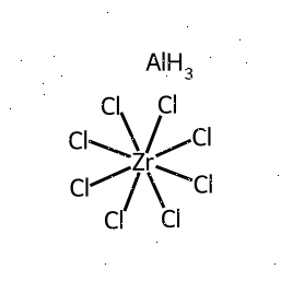 [AlH3].[Cl][Zr]([Cl])([Cl])([Cl])([Cl])([Cl])([Cl])[Cl]